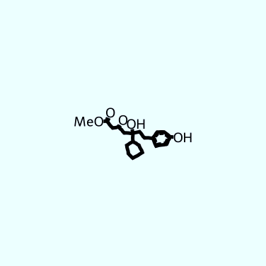 COC(=O)CC(=O)CC(O)(CCc1ccc(O)cc1)C1CCCCC1